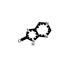 O=c1[nH]c2ncncc2s1